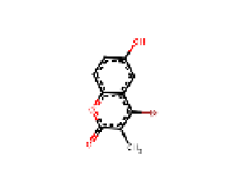 Cc1c(Br)c2cc(O)ccc2oc1=O